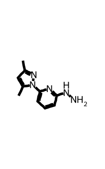 Cc1cc(C)n(-c2cccc(NN)n2)n1